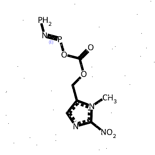 Cn1c(COC(=O)O/P=N/P)cnc1[N+](=O)[O-]